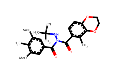 COc1cc(C(=O)N(NC(C)(C)C#N)C(=O)c2ccc3c(c2C)OCCO3)cc(OC)c1C